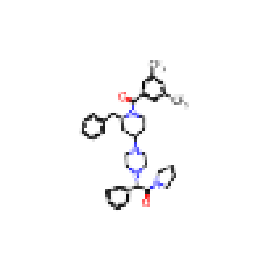 O=C(C(c1ccccc1)N1CCN(C2CCN(C(=O)c3cc(C(F)(F)F)cc(C(F)(F)F)c3)C(Cc3ccccc3)C2)CC1)N1CCCC1